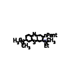 CCCCCc1cc2nc3ccc(N(C)C)cc3sc-2c/c1=[N+](/C)CC